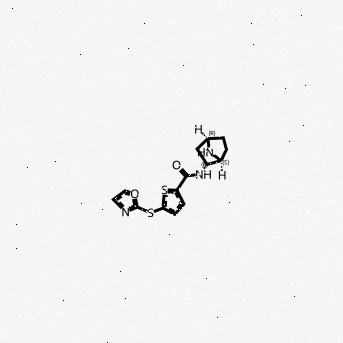 O=C(N[C@@H]1C[C@H]2CC[C@@H]1N2)c1ccc(Sc2ncco2)s1